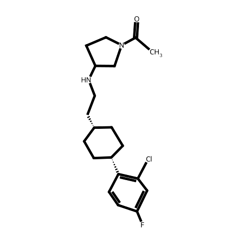 CC(=O)N1CCC(NCC[C@H]2CC[C@@H](c3ccc(F)cc3Cl)CC2)C1